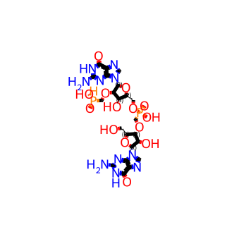 Nc1nc2c(ncn2[C@@H]2O[C@H](COP(=O)(O)CO[C@@H]3C(O)[C@H](n4cnc5c(=O)[nH]c(N)nc54)O[C@@H]3CO)[C@H](O)C2OC[PH](=O)O)c(=O)[nH]1